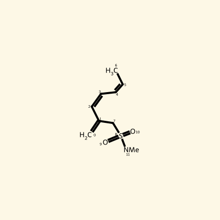 C=C(/C=C\C=C/C)CS(=O)(=O)NC